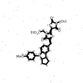 CCCCCCCCN1C(=O)S/C(=c2/s/c(=C/c3ccc4c(c3)C3CCCC3N4c3ccc(OC)cc3)c(=O)n2CC(=O)OCC)C1=O